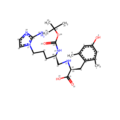 Cc1cc(O)cc(C)c1C[C@H](NC[C@@H](CCCn1ccnc1N)NC(=O)OC(C)(C)C)C(=O)O